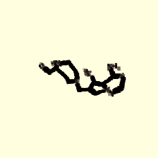 Nc1ncnn2cc(CN3CCNC(C=O)C3)c(Br)c12